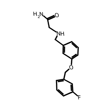 NC(=O)CNCc1cccc(OCc2cccc(F)c2)c1